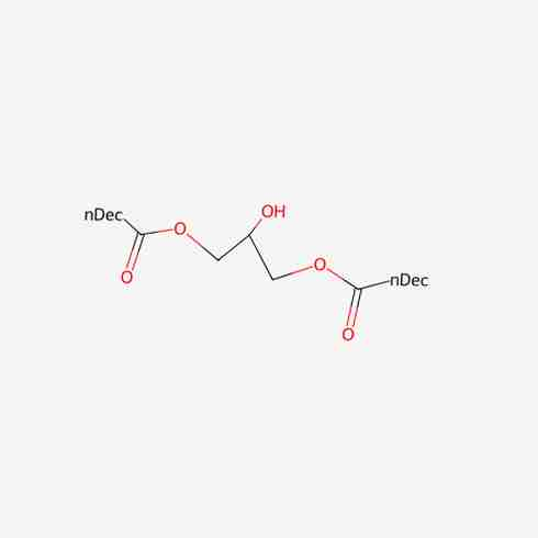 CCCCCCCCCCC(=O)OCC(O)COC(=O)CCCCCCCCCC